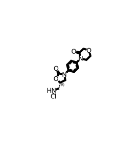 O=C1COCCN1c1ccc(N2C[C@H](CNCl)OC2=O)cc1